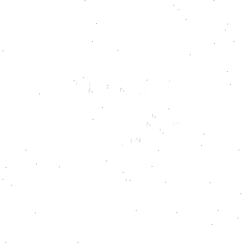 COC(=O)C[C@@H](O)CNCc1nn2cc(-c3cccc(-c4cccc(-c5ccc(CNC[C@@H]6CCC(=O)N6)c(OC)n5)c4Cl)c3Cl)cc2c(=O)n1C